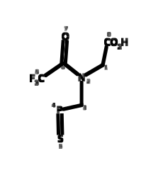 O=C(O)CN(CP=S)C(=O)C(F)(F)F